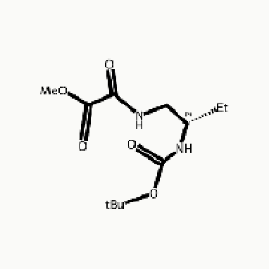 CC[C@@H](CNC(=O)C(=O)OC)NC(=O)OC(C)(C)C